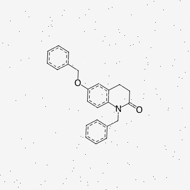 O=C1CCc2cc(OCc3ccccc3)ccc2N1Cc1ccccc1